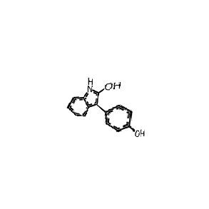 Oc1ccc(-c2c(O)[nH]c3ccccc23)cc1